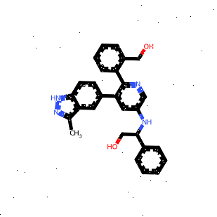 Cc1n[nH]c2ccc(-c3cc(NC(CO)c4ccccc4)cnc3-c3ccccc3CO)cc12